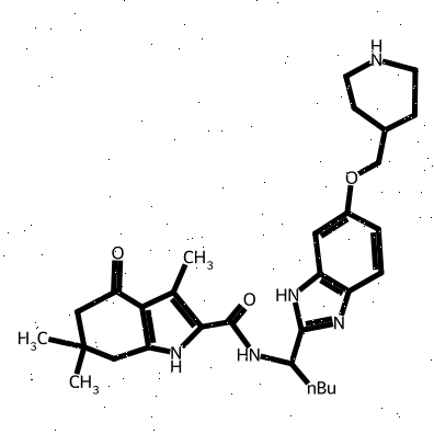 CCCCC(NC(=O)c1[nH]c2c(c1C)C(=O)CC(C)(C)C2)c1nc2ccc(OCC3CCNCC3)cc2[nH]1